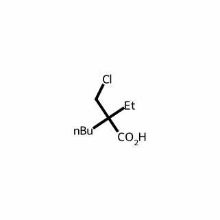 CCCCC(CC)(CCl)C(=O)O